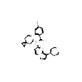 O=C(Nc1ccn2ncc(C3CCOCC3)c2n1)c1ccc(I)cc1N1CCC2(CC1)CC2